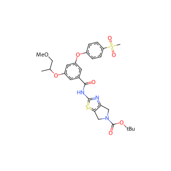 COCC(C)Oc1cc(Oc2ccc(S(C)(=O)=O)cc2)cc(C(=O)Nc2nc3c(s2)CN(C(=O)OC(C)(C)C)C3)c1